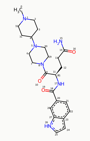 CN1CCC(N2CCN(C(=O)[C@@H](CCC(N)=O)NC(=O)c3ccc4cc[nH]c4c3)CC2)CC1